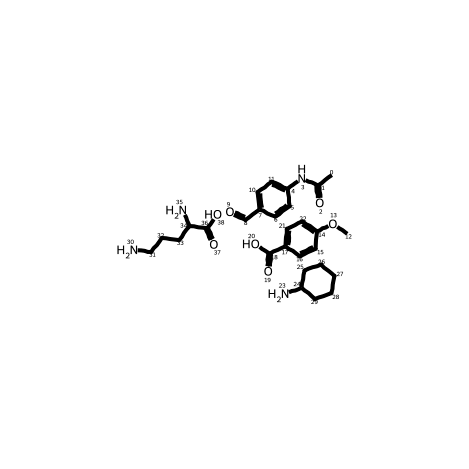 CC(=O)Nc1ccc(C=O)cc1.COc1ccc(C(=O)O)cc1.NC1CCCCC1.NCCCC(N)C(=O)O